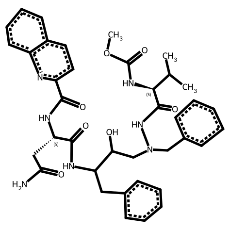 COC(=O)N[C@H](C(=O)NN(Cc1ccccc1)CC(O)C(Cc1ccccc1)NC(=O)[C@H](CC(N)=O)NC(=O)c1ccc2ccccc2n1)C(C)C